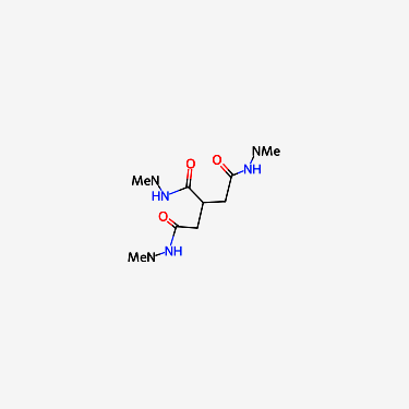 CNNC(=O)CC(CC(=O)NNC)C(=O)NNC